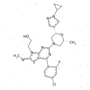 C/N=c1/sc2c(-c3ccc(Cl)cc3F)nc(N3C[C@@H](C)O[C@@H](c4cnn(C5CC5)c4)C3)nc2n1CCO